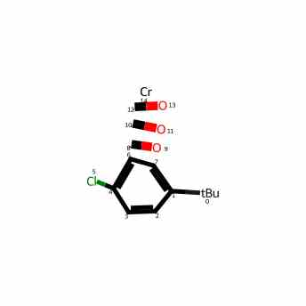 CC(C)(C)c1ccc(Cl)cc1.[C]=O.[C]=O.[C]=O.[Cr]